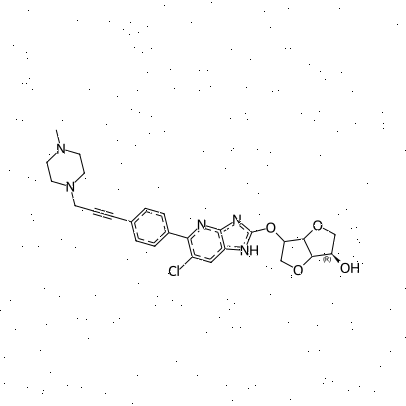 CN1CCN(CC#Cc2ccc(-c3nc4nc(OC5COC6C5OC[C@H]6O)[nH]c4cc3Cl)cc2)CC1